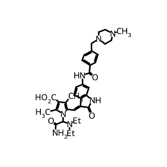 CCN(CC)C(C(N)=O)n1c(C)c(C(=O)O)c(C)c1C=C1C(=O)Nc2cc(NC(=O)c3ccc(CN4CCN(C)CC4)cc3)ccc21